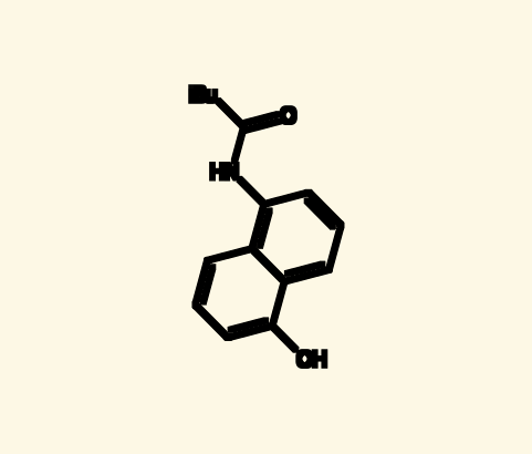 CCC(C)C(=O)Nc1cccc2c(O)cccc12